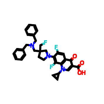 O=C(O)c1cn(C2CC2)c2c(F)c(N3CCC(CF)(CN(Cc4ccccc4)Cc4ccccc4)C3)c(F)cc2c1=O